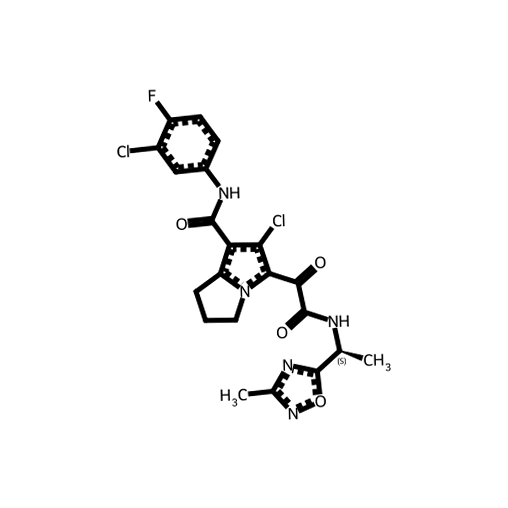 Cc1noc([C@H](C)NC(=O)C(=O)c2c(Cl)c(C(=O)Nc3ccc(F)c(Cl)c3)c3n2CCC3)n1